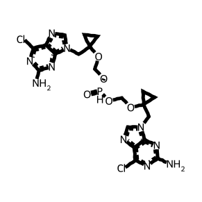 Nc1nc(Cl)c2ncn(CC3(OCO[PH](=O)OCOC4(Cn5cnc6c(Cl)nc(N)nc65)CC4)CC3)c2n1